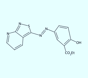 CCOC(=O)c1cc(/N=N/c2snc3ncccc23)ccc1O